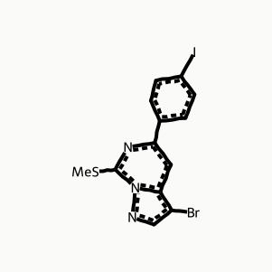 CSc1nc(-c2ccc(I)cc2)cc2c(Br)cnn12